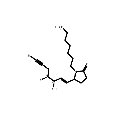 CCC#CC[C@H](CC)[C@H](O)C=CC1CCC(=O)N1CCCCCCC(=O)O